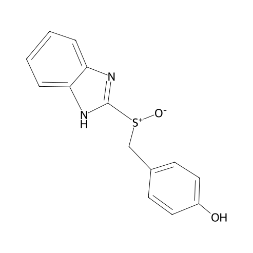 [O-][S+](Cc1ccc(O)cc1)c1nc2ccccc2[nH]1